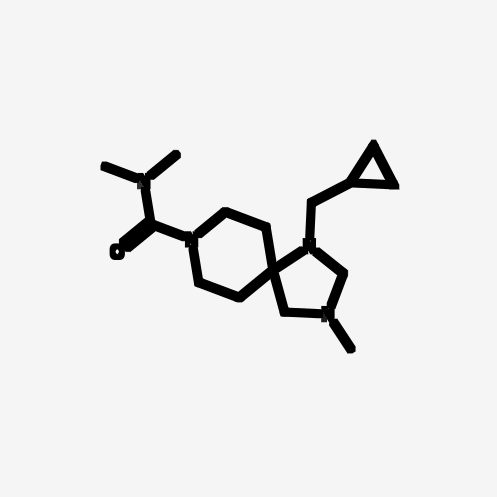 CN1CN(CC2CC2)C2(CCN(C(=O)N(C)C)CC2)C1